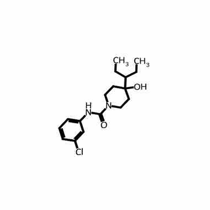 CCC(CC)C1(O)CCN(C(=O)Nc2cccc(Cl)c2)CC1